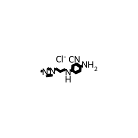 C[n+]1ccn(CCCNc2ccc(N)c(C#N)c2)c1.[Cl-]